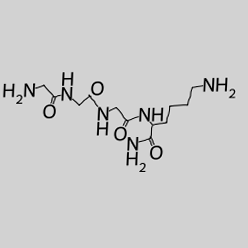 NCCCCC(NC(=O)CNC(=O)CNC(=O)CN)C(N)=O